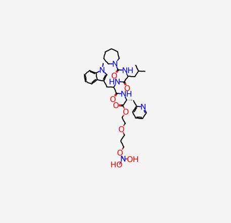 CC(C)CC(NC(=O)N1CCCCCC1)C(=O)NC(Cc1cn(C)c2ccccc12)C(=O)N[C@H](Cc1ccccn1)C(=O)OCCOCCCON(O)O